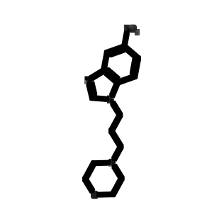 O=[N+]([O-])c1ccc2c(c1)ncn2CCCN1CCOCC1